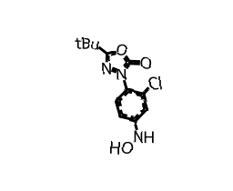 CC(C)(C)c1nn(-c2ccc(NO)cc2Cl)c(=O)o1